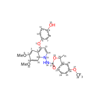 COC1=CC2=C(Oc3ccc(O)cc3)C=CN(NC(=O)OC(C)c3cccc(OC(F)(F)F)c3)C2C=C1OC